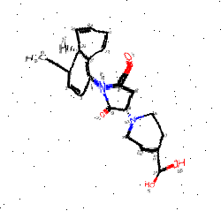 CC1C=CC(N2C(=O)C[C@H](N3CCC(C(O)O)CC3)C2=O)=C2C=CC=C[C@@H]21